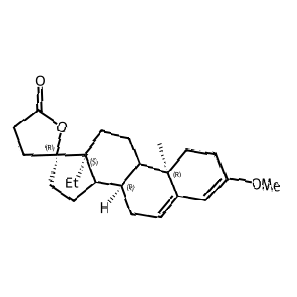 CC[C@]12CCC3[C@@H](CC=C4C=C(OC)CC[C@@]43C)C1CC[C@@]21CCC(=O)O1